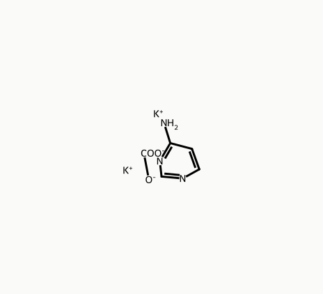 Nc1ccncn1.O=C([O-])[O-].[K+].[K+]